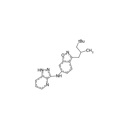 CC(Cc1noc2cc(Nc3n[nH]c4cccnc34)ccc12)CC(C)(C)C